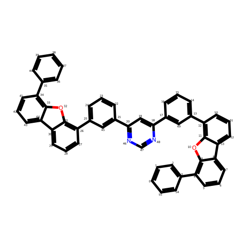 c1ccc(-c2cccc3c2oc2c(-c4cccc(-c5cc(-c6cccc(-c7cccc8c7oc7c(-c9ccccc9)cccc78)c6)ncn5)c4)cccc23)cc1